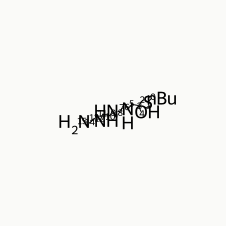 CCCCSCC(O)CNCCNCCNCCN